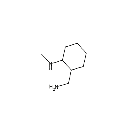 CNC1CCCCC1CN